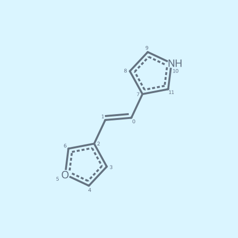 C(=C\c1ccoc1)/c1cc[nH]c1